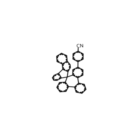 N#Cc1ccc(-c2ccc3c(c2)C2(c4ccccc4-c4ccccc4-3)c3ccccc3-c3c2ccc2ccccc32)cc1